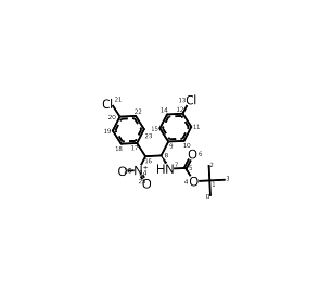 CC(C)(C)OC(=O)N[C@H](c1ccc(Cl)cc1)C(c1ccc(Cl)cc1)[N+](=O)[O-]